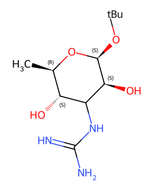 C[C@H]1O[C@@H](OC(C)(C)C)[C@@H](O)C(NC(=N)N)[C@@H]1O